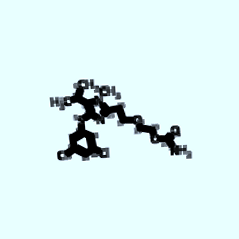 CC(C)c1c(Sc2cc(Cl)cc(Cl)c2)nc(CCOCCOC(N)=O)n1C